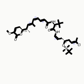 COC1=CC[C@@H]([C@@H](C)/C=C(C)/C=C\C=C\C(=O)N[C@H](C(=O)N/C=C\C[C@H](C/C=C(\C)Cl)O[Si](C)(C)C(C)(C)C)C(C)(C)C)OC1=O